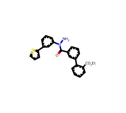 CCOC(=O)c1ccccc1-c1cccc(C(=O)N(N)c2cccc(-c3cccs3)c2)c1